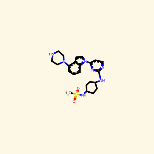 CS(=O)(=O)NC1CCC(Nc2nccc(-n3ccc4c(N5CCNCC5)cccc43)n2)CC1